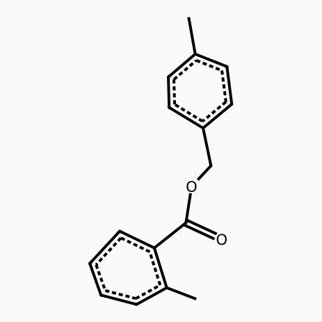 Cc1ccc(COC(=O)c2ccccc2C)cc1